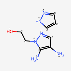 Nc1cnn(CCO)c1N.c1cn[nH]c1